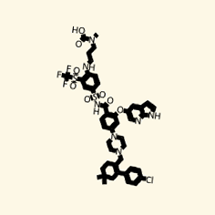 CN(CCCNc1ccc(S(=O)(=O)NC(=O)c2ccc(N3CCN(CC4=C(c5ccc(Cl)cc5)CC(C)(C)CC4)CC3)cc2Oc2cnc3[nH]ccc3c2)cc1S(=O)(=O)C(F)(F)F)C(=O)O